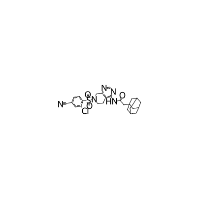 N#Cc1ccc(S(=O)(=O)N2CCc3c(ncnc3NC(=O)CC34CC5CC(CC(C5)C3)C4)C2)c(Cl)c1